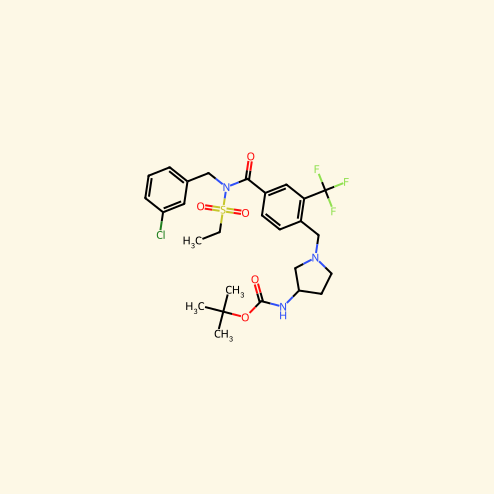 CCS(=O)(=O)N(Cc1cccc(Cl)c1)C(=O)c1ccc(CN2CCC(NC(=O)OC(C)(C)C)C2)c(C(F)(F)F)c1